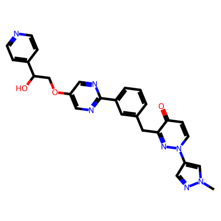 Cn1cc(-n2ccc(=O)c(Cc3cccc(-c4ncc(OCC(O)c5ccncc5)cn4)c3)n2)cn1